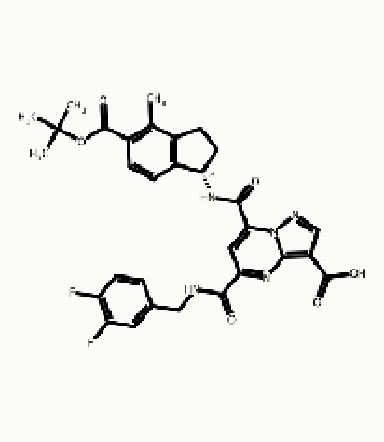 Cc1c(C(=O)OC(C)(C)C)ccc2c1CC[C@@H]2NC(=O)c1cc(C(=O)NCc2ccc(F)c(F)c2)nc2c(C(=O)O)cnn12